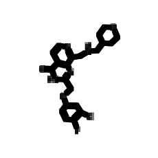 O=c1[nH]c(COc2ccc(F)c(Cl)c2)nc2c(CNCC3CCOCC3)nccc12